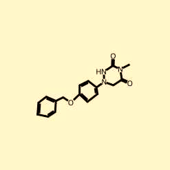 CN1C(=O)CN(c2ccc(OCc3ccccc3)cc2)NC1=O